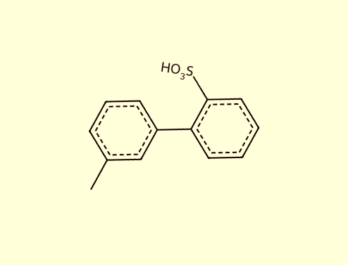 Cc1cccc(-c2ccccc2S(=O)(=O)O)c1